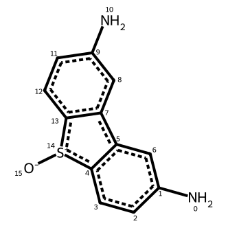 Nc1ccc2c(c1)c1cc(N)ccc1[s+]2[O-]